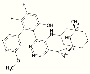 COc1cc(-c2c(F)c(F)cc(O)c2-c2nncc(C3CC3)c2NC2C[C@]3(C)CCC[C@](C)(C2)N3)cnn1